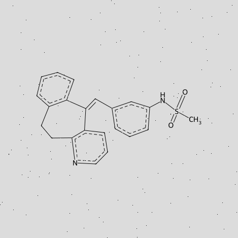 CS(=O)(=O)Nc1cccc(C=C2c3ccccc3CCc3ncccc32)c1